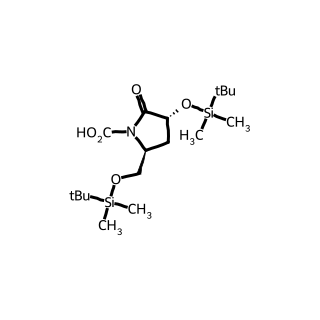 CC(C)(C)[Si](C)(C)OC[C@@H]1C[C@@H](O[Si](C)(C)C(C)(C)C)C(=O)N1C(=O)O